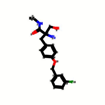 CNC(=O)C(N)(CO)Cc1ccc(OCc2cccc(F)c2)cc1